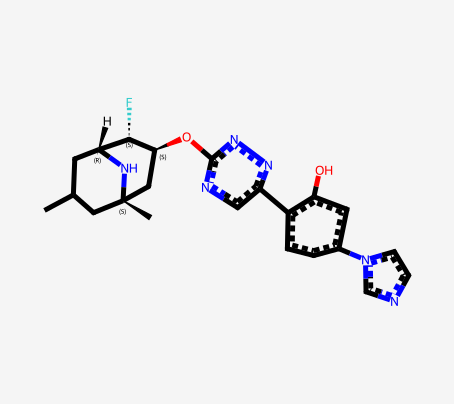 CC1C[C@H]2N[C@@](C)(C1)C[C@H](Oc1ncc(-c3ccc(-n4ccnc4)cc3O)nn1)[C@H]2F